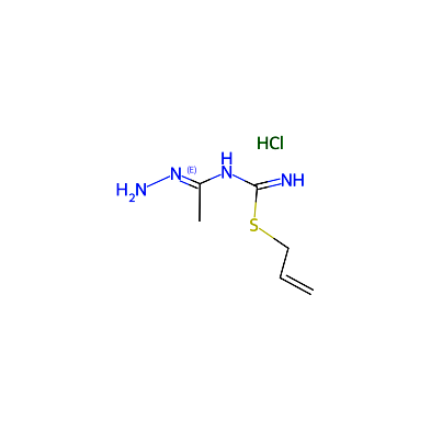 C=CCSC(=N)N/C(C)=N/N.Cl